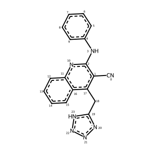 N#Cc1c(Nc2ccccc2)nc2ccccc2c1Cc1nnn[nH]1